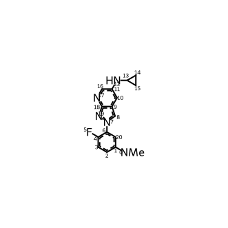 CNc1ccc(F)c(-n2cc3cc(NC4CC4)cnc3n2)c1